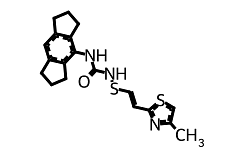 Cc1csc(/C=C/SNC(=O)Nc2c3c(cc4c2CCC4)CCC3)n1